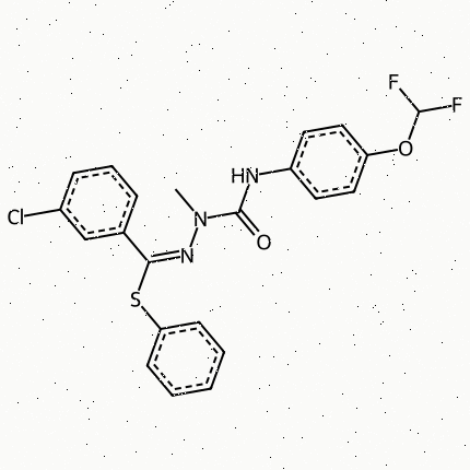 CN(N=C(Sc1ccccc1)c1cccc(Cl)c1)C(=O)Nc1ccc(OC(F)F)cc1